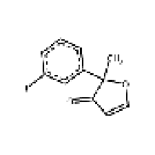 CC1(c2cccc(I)c2)OC=CC1=O